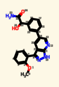 COc1ccccc1-c1n[nH]c2ncc(-c3cccc(C(O)C(N)=O)c3)cc12